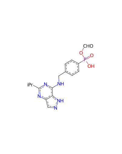 CC(C)c1nc(NCc2ccc(P(=O)(O)OC=O)cc2)c2[nH]ncc2n1